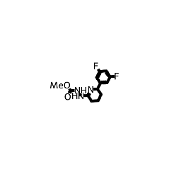 COC(=O)NNC1=NC(c2cc(F)cc(F)c2)CCC1